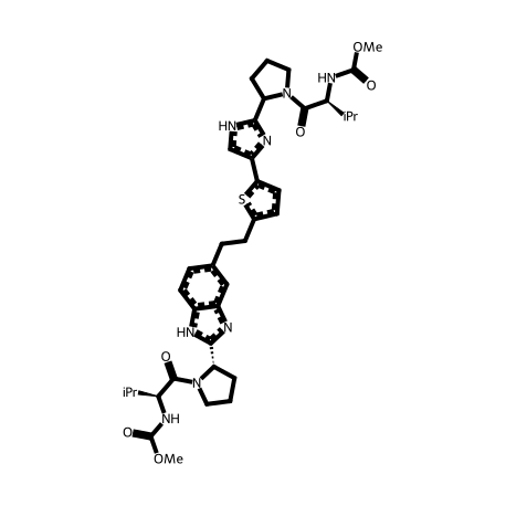 COC(=O)N[C@H](C(=O)N1CCCC1c1nc(-c2ccc(CCc3ccc4[nH]c([C@@H]5CCCN5C(=O)[C@@H](NC(=O)OC)C(C)C)nc4c3)s2)c[nH]1)C(C)C